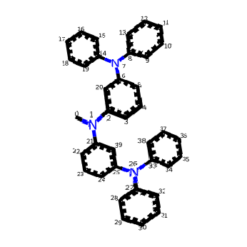 CN(c1cccc(N(c2ccccc2)c2ccccc2)c1)c1cccc(N(c2ccccc2)c2ccccc2)c1